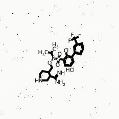 CC(C)N(OCC1CCNCC1C(=N)N)S(=O)(=O)c1cccc(-c2cccc(C(F)(F)F)c2)c1Cl.Cl